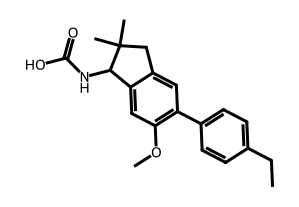 CCc1ccc(-c2cc3c(cc2OC)C(NC(=O)O)C(C)(C)C3)cc1